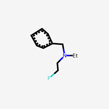 CCN(CCF)Cc1ccccc1